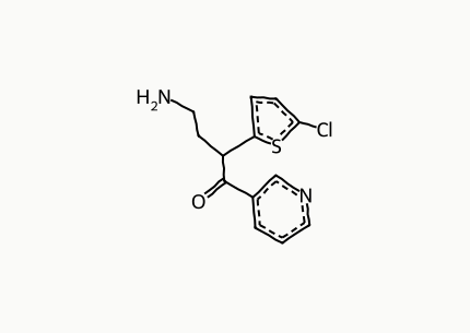 NCCC(C(=O)c1cccnc1)c1ccc(Cl)s1